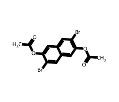 CC(=O)Oc1cc2cc(Br)c(OC(C)=O)cc2cc1Br